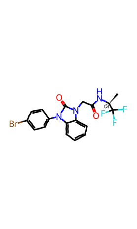 C[C@H](NC(=O)Cn1c(=O)n(-c2ccc(Br)cc2)c2ccccc21)C(F)(F)F